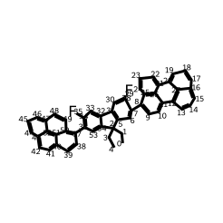 CCC1(CC)c2cc(-c3ccc4c5cccc6cccc(c7cccc3c74)c65)c(F)cc2-c2cc(F)c(-c3ccc4ccc5cccc6ccc3c4c56)cc21